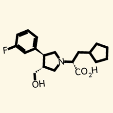 O=C(O)[C@@H](CC1CCCC1)N1C[C@H](CO)[C@@H](c2cccc(F)c2)C1